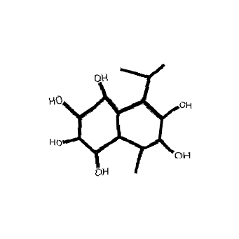 CC(C)C1C(O)C(O)C(C)C2C(O)C(O)C(O)C(O)C12